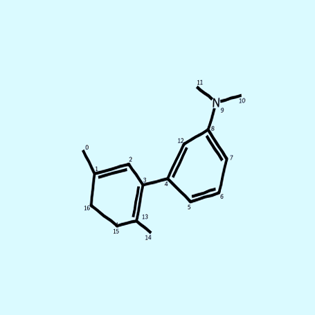 CC1=CC(c2cccc(N(C)C)c2)=C(C)[CH]C1